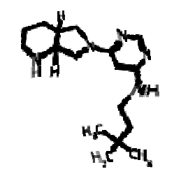 CC(C)(C)CCNc1cc(N2C[C@H]3CCCN[C@H]3C2)ncn1